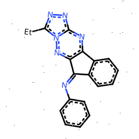 CCc1nnc2nc3c(nn12)/C(=N/c1ccccc1)c1ccccc1-3